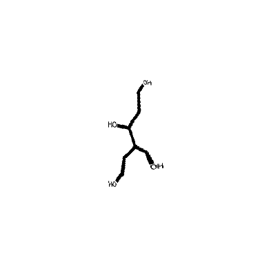 OCCC(O)C(CO)CCO